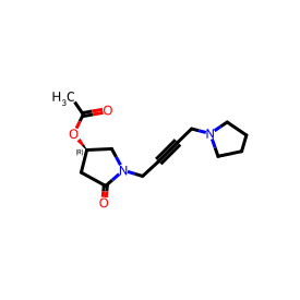 CC(=O)O[C@@H]1CC(=O)N(CC#CCN2CCCC2)C1